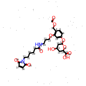 O=COCc1ccc(OC2CC(O)CC(C(=O)O)O2)cc1OCCCNC(=O)CCCCCN1C(=O)C=CC1=O